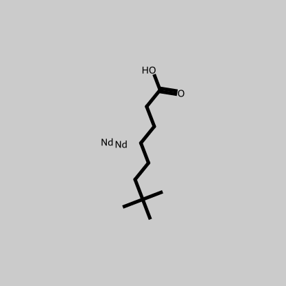 CC(C)(C)CCCCCC(=O)O.[Nd].[Nd]